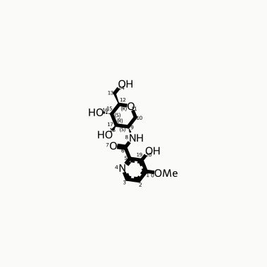 COc1ccnc(C(=O)N[C@H]2CO[C@H](CO)[C@@H](O)[C@@H]2O)c1O